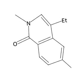 CCc1cn(C)c(=O)c2ccc(C)cc12